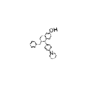 Oc1ccc2c(c1)CC[C@H](Cc1ccccc1)[C@@H]2c1ccc(N2CCCCC2)cc1